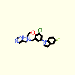 Fc1ccc2c(ccn2-c2cc(Cl)c3c(c2)CN(Cc2cnc[nH]2)CCO3)c1